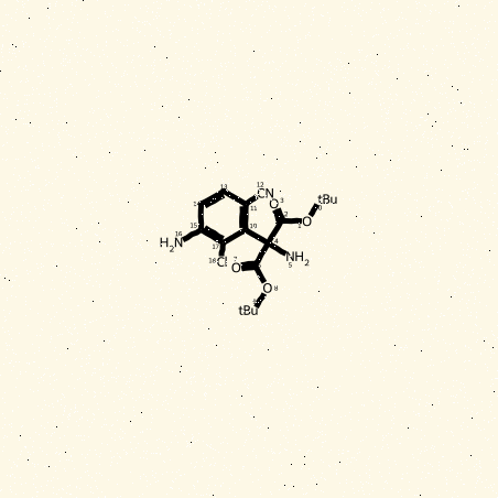 CC(C)(C)OC(=O)C(N)(C(=O)OC(C)(C)C)c1c(C#N)ccc(N)c1Cl